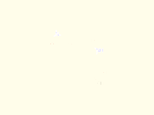 COC(=O)c1ccc2c(c1)NC(=O)/C2=C/c1ccccc1OCCN1CCCC1=O